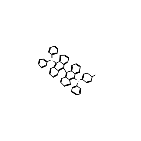 CC1C=CC(N(c2ccccc2)c2c3ccccc3c(-c3c4ccccc4c(N(c4ccccc4)c4ccccc4)c4ccccc34)c3ccccc23)=CC1